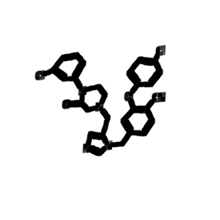 N#Cc1ccc(Cn2cncc2CN2CCN(c3cccc(Cl)c3)C(=O)C2)cc1Oc1ccc(Cl)cc1